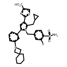 NS(=O)(=O)c1ccc(Cn2c(-c3cccc(N4CC5(CCCCC5)C4)c3)cc(-c3nc(C(=O)O)cs3)c2CC2CC2)cc1F